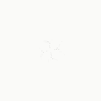 O=[N+]([O-])[Co]([N+](=O)[O-])([N+](=O)[O-])[N+](=O)[O-]